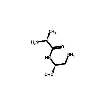 C[C@H](N)C(=O)N[C@H](C=O)CN